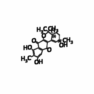 Cc1c(O)cc2c(c1O)C(=O)C1=C(C2=O)C2=C[C@](C)(O)CC[C@@H]2C(C)(C)O1